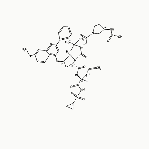 C=C[C@@H]1C[C@]1(NC(=O)[C@@H]1C[C@@H](Oc2cc(-c3ccccc3)nc3cc(OC)ccc23)CN1C(=O)[C@@H](CC(=O)N1CC[C@@H](NC(=O)O)C1)C(C)(C)C)C(=O)NS(=O)(=O)C1CC1